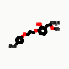 CSc1ccc(OCCCOc2cccc(CC(OC(C)C)C(=O)O)c2O)cc1